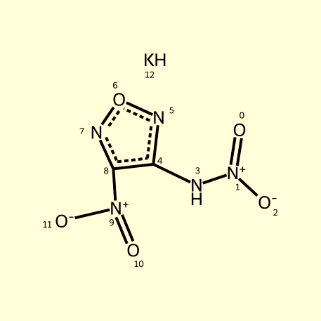 O=[N+]([O-])Nc1nonc1[N+](=O)[O-].[KH]